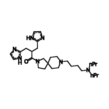 CCCN(CCC)CCCCN1CCC2(CC1)CCN(C(=O)C(Cc1ncc[nH]1)Cc1ncc[nH]1)C2